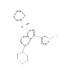 Cn1cc(-c2cn(S(=O)(=O)c3ccccc3)c3ncc(C4CCCCC4)cc23)cn1